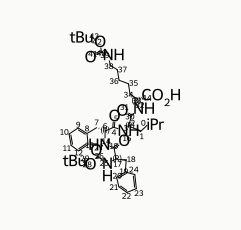 CC(C)C[C@@H](NC(=O)[C@@H](Cc1ccccc1)NC(=O)[C@@H](Cc1ccccc1)NC(=O)OC(C)(C)C)C(=O)N[C@H](CCCCCNC(=O)OC(C)(C)C)C(=O)O